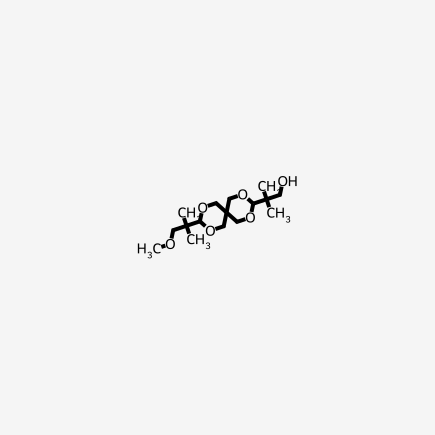 COCC(C)(C)C1OCC2(COC(C(C)(C)CO)OC2)CO1